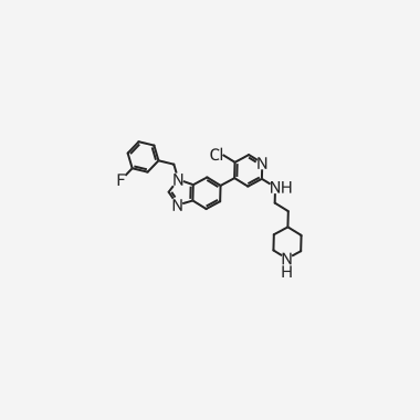 Fc1cccc(Cn2cnc3ccc(-c4cc(NCCC5CCNCC5)ncc4Cl)cc32)c1